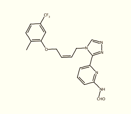 Cc1ccc(C(F)(F)F)cc1OC/C=C\Cn1cnnc1-c1cccc(NC=O)n1